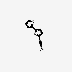 CC(=O)C#Cc1ccc(-c2cccs2)s1